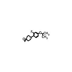 CC(C)Oc1ccc(N2CCC3(CC2)CO3)c(F)c1